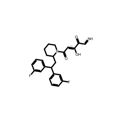 N=CC(=O)/C(O)=C/C(=O)N1CCCCC1CC(c1cccc(F)c1)c1cccc(F)c1